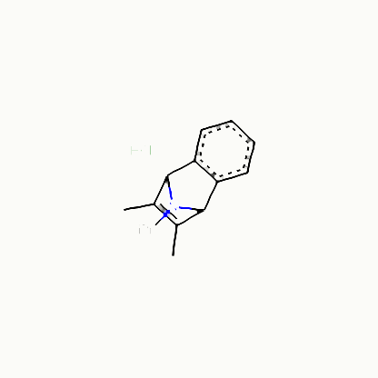 CC1=C(C)C2c3ccccc3C1N2C(C)C.Cl